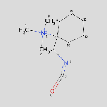 C[N+](C)(C)C1(CN=C=O)C[CH]CCC1